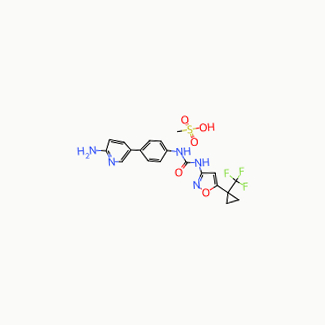 CS(=O)(=O)O.Nc1ccc(-c2ccc(NC(=O)Nc3cc(C4(C(F)(F)F)CC4)on3)cc2)cn1